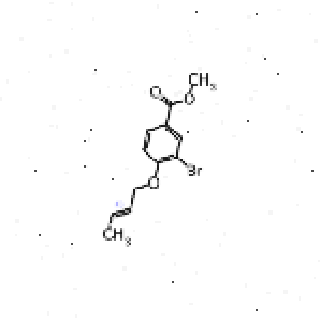 C/C=C/COc1ccc(C(=O)OC)cc1Br